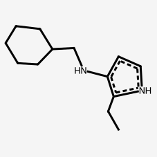 CCc1[nH]ccc1NCC1CCCCC1